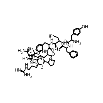 CC(C)CC(NC(=O)C(Cc1ccccc1)NC(=O)C(N)Cc1ccc(O)cc1)C(=O)NC(Cc1ccccc1)C(=O)NC(CCCNC(=N)N)C(=O)N1CCCC1C(=O)NC(CCCNC(=N)N)C(=O)NC(CC(N)=O)C(N)=O